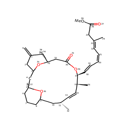 C=C1CC2C[C@@H]3CCCC(C[C@@H](C)/C=C/[C@H](C)[C@H](/C=C/C=C\C=C(/C)CC(=O)OC)OC(=O)C[C@H](C1)O2)O3